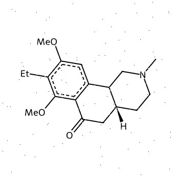 CCc1c(OC)cc2c(c1OC)C(=O)C[C@H]1CCN(C)CC21